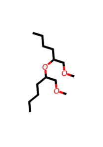 CCCCC(COC)OC(CCCC)COC